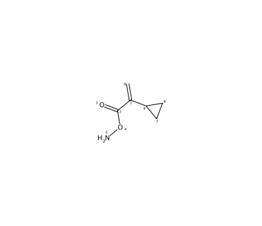 C=C(C(=O)ON)C1CC1